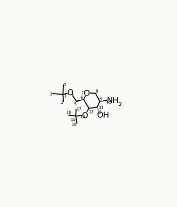 CC(C)(C)OC[C@H]1OC[C@@H](N)[C@H](O)C1OC(C)(C)C